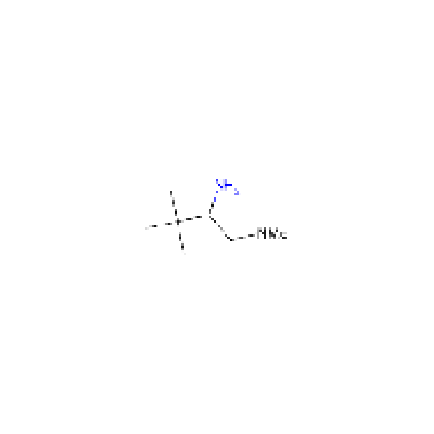 CNCC(N)C(C)(C)C